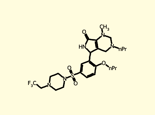 CCCOc1ccc(S(=O)(=O)N2CCN(CC(F)(F)F)CC2)cc1C1NC(=O)C2=C1CN(CCC)CN2C